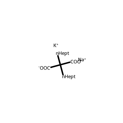 CCCCCCCC(CCCCCCC)(C(=O)[O-])C(=O)[O-].[K+].[Na+]